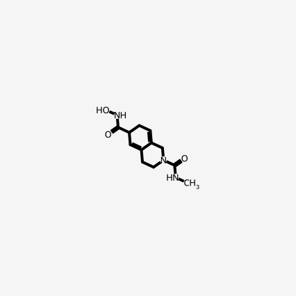 CNC(=O)N1CCC2=CC(C(=O)NO)CC=C2C1